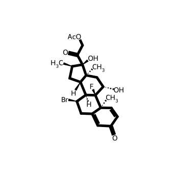 CC(=O)OCC(=O)[C@@]1(O)[C@H](C)C[C@H]2[C@@H]3[C@H](Br)CC4=CC(=O)C=C[C@]4(C)[C@@]3(F)[C@@H](O)C[C@@]21C